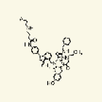 C=CCN1CC(=O)N2[C@@H](Cc3ccc(O)cc3)C(=O)N(Cc3cccc4c(-c5ccc(NC(=O)CCCNCCC(C)=O)cc5)cn(C)c34)C[C@@H]2N1C(=O)NCc1ccccc1